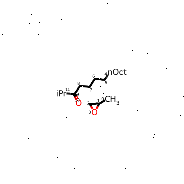 CC1CO1.CCCCCCCCCCCCC(=O)C(C)C